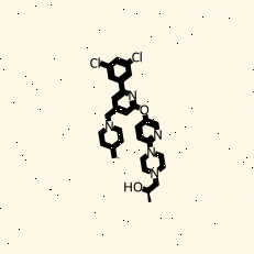 [CH2]C1CCN(Cc2cc(Oc3ccc(N4CCN(C[C@@H](C)O)CC4)nc3)nc(-c3cc(Cl)cc(Cl)c3)c2)CC1